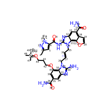 CCn1nc(C)cc1C(=O)Nc1nc2cc(C(N)=O)c3ccoc3c2n1C/C=C/Cn1c(N)nc2cc(C(N)=O)cc(OCCCO[Si](C)(C)C(C)(C)C)c21